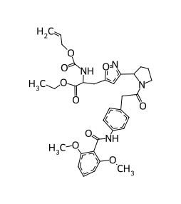 C=CCOC(=O)NC(Cc1cc(C2CCCN2C(=O)Cc2ccc(NC(=O)c3c(OC)cccc3OC)cc2)no1)C(=O)OCC